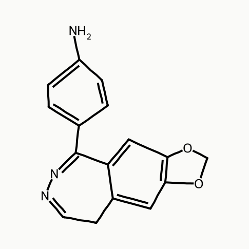 Nc1ccc(C2=NN=CCc3cc4c(cc32)OCO4)cc1